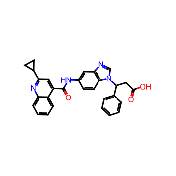 O=C(O)CC(c1ccccc1)n1cnc2cc(NC(=O)c3cc(C4CC4)nc4ccccc34)ccc21